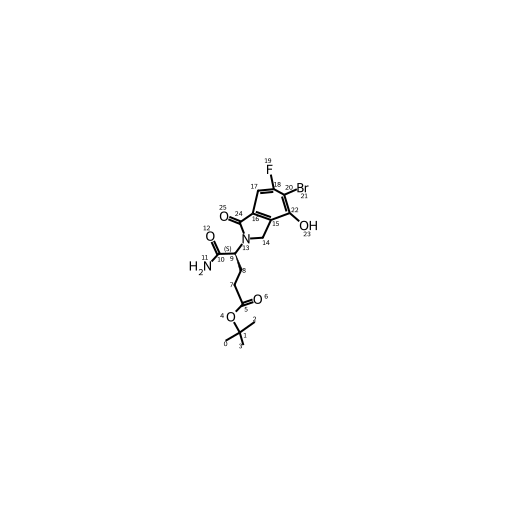 CC(C)(C)OC(=O)CC[C@@H](C(N)=O)N1Cc2c(cc(F)c(Br)c2O)C1=O